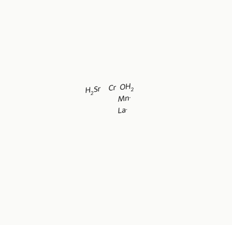 O.[Cr].[La].[Mn].[SrH2]